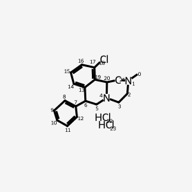 CN1CCN2CC(c3ccccc3)c3cccc(Cl)c3C2C1.Cl.Cl